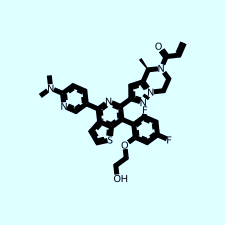 C=CC(=O)N1CCn2nc(-c3nc(-c4ccc(N(C)C)nc4)c4ccsc4c3-c3c(F)cc(F)cc3OCCO)cc2[C@H]1C